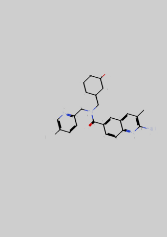 Cc1cc2cc(C(=O)N(Cc3ccc(C(F)(F)F)cn3)CC3CCCC(O)C3)ccc2nc1N